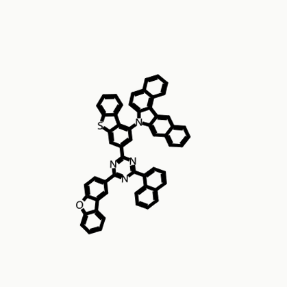 c1ccc2cc3c(cc2c1)c1c2ccccc2ccc1n3-c1cc(-c2nc(-c3ccc4oc5ccccc5c4c3)nc(-c3cccc4ccccc34)n2)cc2sc3ccccc3c12